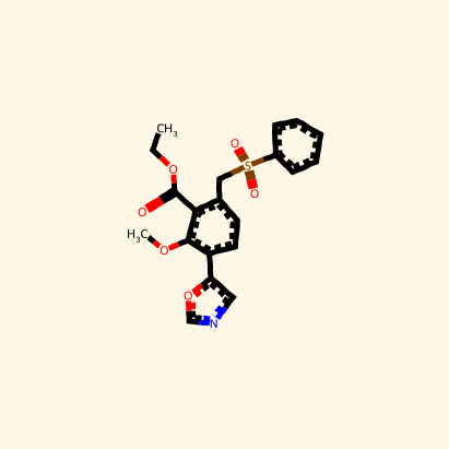 CCOC(=O)c1c(CS(=O)(=O)c2ccccc2)ccc(-c2cnco2)c1OC